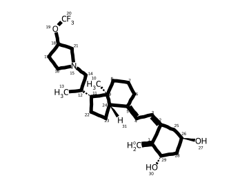 C=C1C(=CC=C2CCC[C@]3(C)[C@@H](C(C)CN4CCC(OC(F)(F)F)C4)CC[C@@H]23)C[C@@H](O)C[C@@H]1O